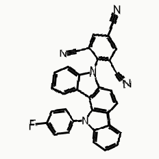 N#Cc1cc(C#N)c(-n2c3ccccc3c3c2ccc2c4ccccc4n(-c4ccc(F)cc4)c23)c(C#N)c1